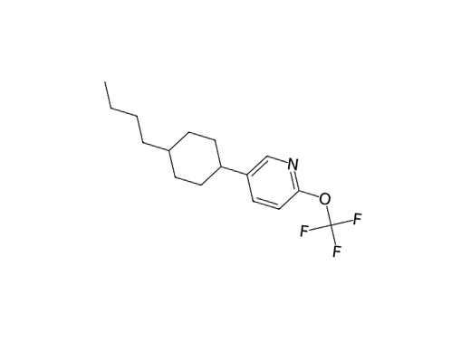 CCCCC1CCC(c2ccc(OC(F)(F)F)nc2)CC1